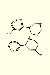 NC1=CC(c2cccnc2)NCC1.Nc1ccnc(C2CCCNC2)c1